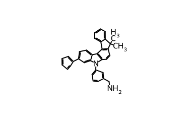 CC1(C)c2ccccc2-c2c1ccc1c2c2ccc(-c3ccccc3)cc2n1-c1cccc(CN)c1